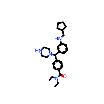 CCN(CC)C(=O)c1ccc(C(c2cccc(NCC3CCCC3)c2)N2CCNCC2)cc1